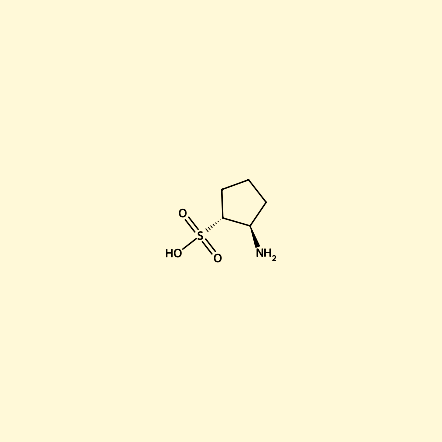 N[C@@H]1CCC[C@H]1S(=O)(=O)O